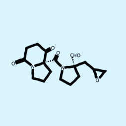 O=[C][C@]1(CC2CO2)CCCN1C(=O)[C@]12CCCN1C(=O)CCC2=O